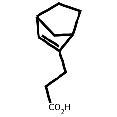 O=C(O)CCC1=CC2CCC1C2